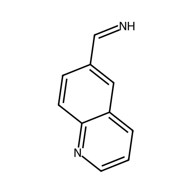 N=Cc1ccc2ncccc2c1